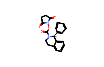 O=C1CCC(=O)N1OC(=O)N1CCc2ccccc2[C@@H]1c1ccccc1